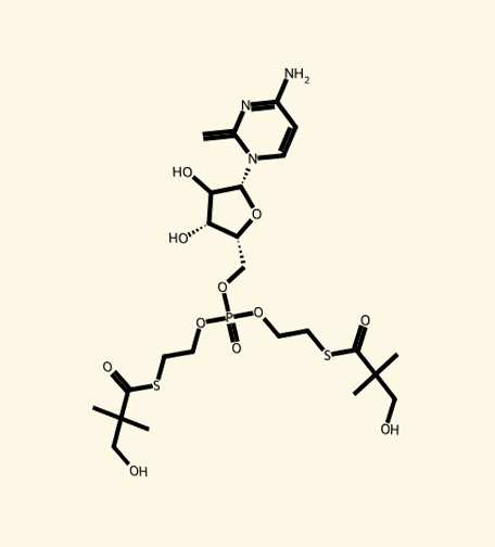 C=C1N=C(N)C=CN1[C@@H]1O[C@H](COP(=O)(OCCSC(=O)C(C)(C)CO)OCCSC(=O)C(C)(C)CO)[C@H](O)C1O